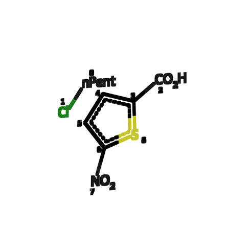 CCCCCCl.O=C(O)c1ccc([N+](=O)[O-])s1